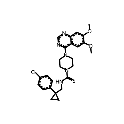 COc1cc2ncnc(N3CCN(C(=S)NCC4(c5ccc(Cl)cc5)CC4)CC3)c2cc1OC